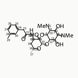 CN[C@@H]1[C@H](O)[C@H](NC)C2O[C@]3(O)C(OC2[C@@H]1O)O[C@H](C)C[C@H]3NC(=O)Cc1cccc(C)c1